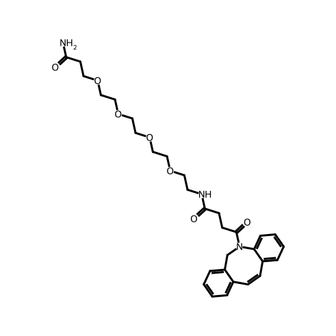 NC(=O)CCOCCOCCOCCOCCNC(=O)CCC(=O)N1Cc2ccccc2/C=C\c2ccccc21